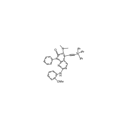 COc1ccccc1Nc1ncc2c(C#C[Si](C(C)C)(C(C)C)C(C)C)c(N(C)C)c(=O)n(-c3ccccc3)c2n1